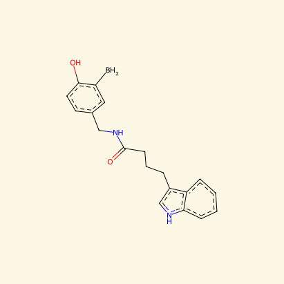 Bc1cc(CNC(=O)CCCc2c[nH]c3ccccc23)ccc1O